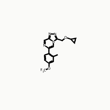 Cc1cc(OC(F)(F)F)ccc1-c1cn2c(COC3CC3)nnc2cn1